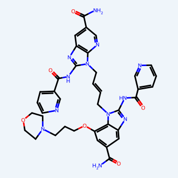 NC(=O)c1cnc2c(c1)nc(NC(=O)c1cccnc1)n2C/C=C/Cn1c(NC(=O)c2cccnc2)nc2cc(C(N)=O)cc(OCCCN3CCOCC3)c21